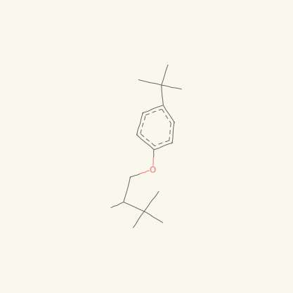 CC(COc1ccc(C(C)(C)C)cc1)C(C)(C)C